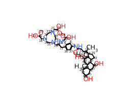 CC(CCC(=O)Nc1ccc(CC(CN2CCN(CC(=O)O)CCN(CC(=O)O)CC2)NCC(=O)O)cc1)C1CCC2C3C(C[C@H](O)[C@]12C)[C@@]1(C)CC[C@@H](O)CC1C[C@H]3O